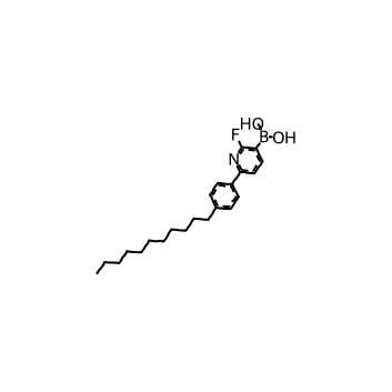 CCCCCCCCCCCc1ccc(-c2ccc(B(O)O)c(F)n2)cc1